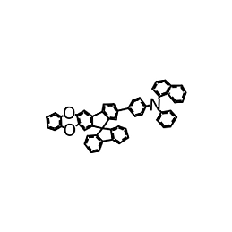 c1ccc(N(c2ccc(-c3ccc4c(c3)C3(c5ccccc5-c5ccccc53)c3cc5c(cc3-4)Oc3ccccc3O5)cc2)c2cccc3ccccc23)cc1